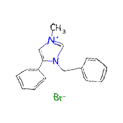 C[n+]1cc(-c2ccccc2)n(Cc2ccccc2)c1.[Br-]